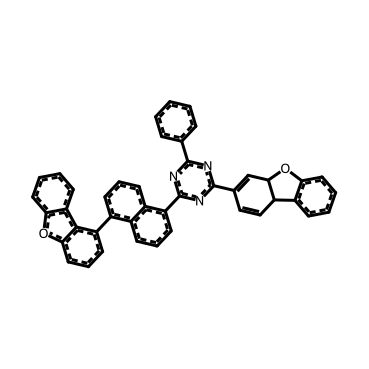 C1=CC2c3ccccc3OC2C=C1c1nc(-c2ccccc2)nc(-c2cccc3c(-c4cccc5oc6ccccc6c45)cccc23)n1